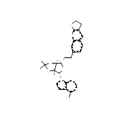 CC1(C)O[C@@H]2[C@H](O1)[C@@H](CCc1ccc3cc4c(nc3c1)NCC4)O[C@H]2n1ccc2c(N)ncnc21